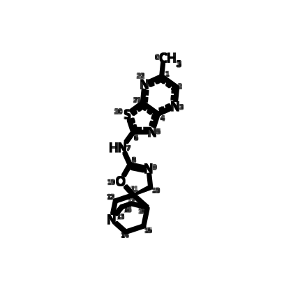 Cc1cnc2nc(NC3=NC[C@@]4(CN5CCC4CC5)O3)sc2n1